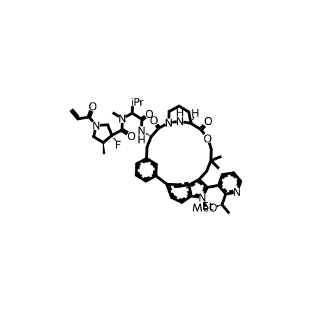 C=CC(=O)N1C[C@H](C)[C@](F)(C(=O)N(C)C(C(=O)N[C@H]2Cc3cccc(c3)-c3ccc4c(c3)c(c(-c3cccnc3[C@H](C)OC)n4CC)CC(C)(C)COC(=O)[C@@H]3CCCN(N3)C2=O)C(C)C)C1